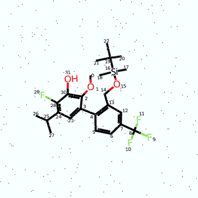 COc1c(-c2ccc(C(F)(F)F)cc2CO[Si](C)(C)C(C)(C)C)cc(C(C)C)c(F)c1O